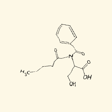 CCCCC(=O)N(C(=O)c1ccccc1)C(CO)C(=O)O